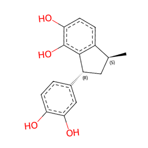 C[C@H]1C[C@H](c2ccc(O)c(O)c2)c2c1ccc(O)c2O